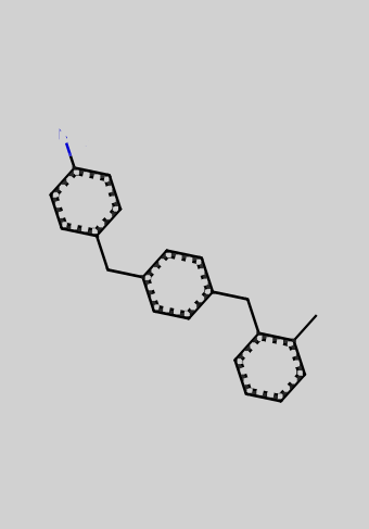 Cc1ccccc1Cc1ccc(Cc2ccc(N)cc2)cc1